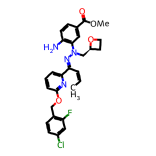 C/C=C\C(=N/N(C[C@@H]1CCO1)c1cc(C(=O)OC)ccc1N)c1cccc(OCc2ccc(Cl)cc2F)n1